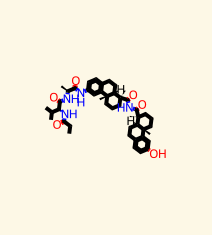 CCC(=O)N[C@H](C(=O)N[C@@H](C)C(=O)Nc1ccc2c(c1)[C@@]1(C)CCC[C@](C)(C(=O)NC(=O)[C@@]3(C)CCC[C@]4(C)c5cc(O)ccc5CC[C@@H]34)[C@@H]1CC2)C(C)C